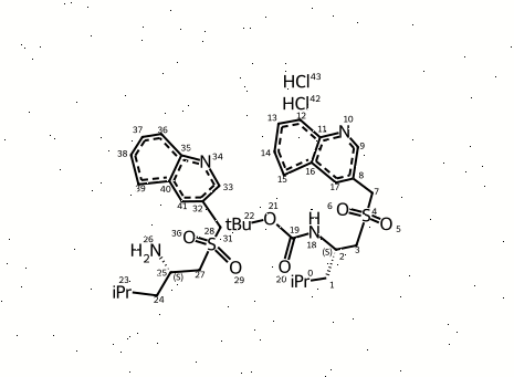 CC(C)C[C@@H](CS(=O)(=O)Cc1cnc2ccccc2c1)NC(=O)OC(C)(C)C.CC(C)C[C@H](N)CS(=O)(=O)Cc1cnc2ccccc2c1.Cl.Cl